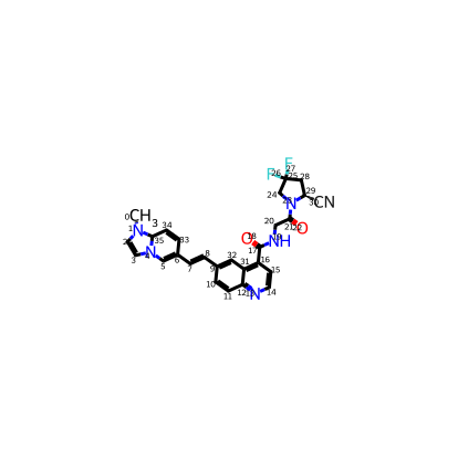 CN1C=CN2C=C(/C=C/c3ccc4nccc(C(=O)NCC(=O)N5CC(F)(F)C[C@H]5C#N)c4c3)C=CC12